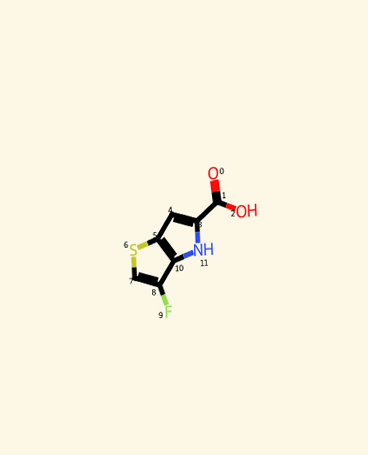 O=C(O)c1cc2scc(F)c2[nH]1